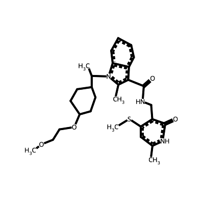 COCCOC1CCC(C(C)n2c(C)c(C(=O)NCc3c(SC)cc(C)[nH]c3=O)c3ccccc32)CC1